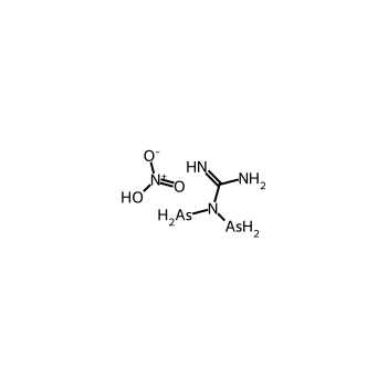 N=C(N)N([AsH2])[AsH2].O=[N+]([O-])O